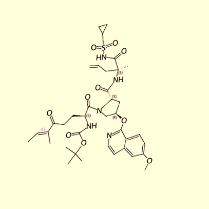 C=CC[C@](C)(NC(=O)[C@@H]1C[C@@H](Oc2nccc3cc(OC)ccc23)CN1C(=O)[C@H](CCC(=O)/C(C)=C/C)NC(=O)OC(C)(C)C)C(=O)NS(=O)(=O)C1CC1